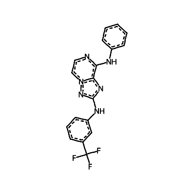 FC(F)(F)c1cccc(Nc2nc3c(Nc4ccccc4)nccn3n2)c1